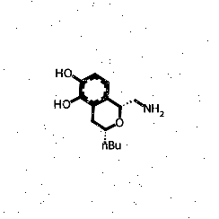 CCCC[C@@H]1Cc2c(ccc(O)c2O)[C@H](CN)O1